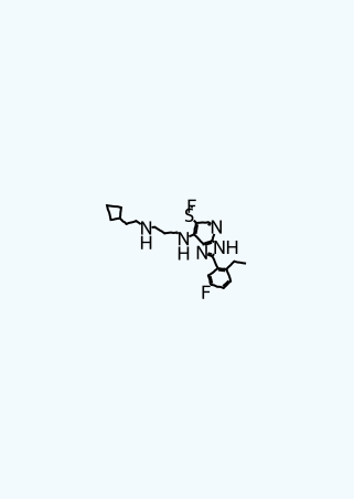 CCc1ccc(F)cc1-c1nc2c(NCCCNCCC3CCC3)c(SF)cnc2[nH]1